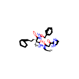 CC(C)C[C@@H](C(=O)NN(CC(C)C)C(=O)CC(=O)c1ncc[nH]1)[C@H](CCCC1CCCC1)C(=O)NOCc1ccccc1